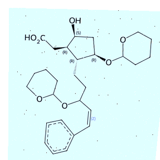 O=C(O)C[C@@H]1[C@@H](CCC(/C=C\c2ccccc2)OC2CCCCO2)[C@H](OC2CCCCO2)C[C@@H]1O